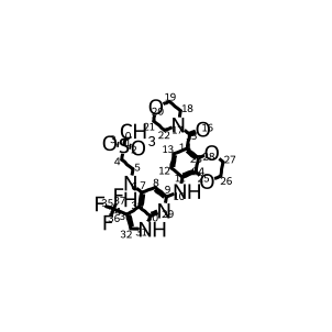 CS(=O)(=O)CCNc1cc(Nc2ccc(C(=O)N3CCOCC3)c3c2OCCO3)nc2[nH]cc(C(F)(F)F)c12